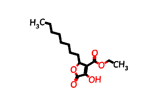 CCCCCCCCC1OC(=O)C(O)=C1C(=O)OCC